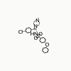 CN1CCN([C@H](CNS(=O)(=O)c2ccc(Oc3ccccc3)cc2)c2ccc(Cl)cc2)CC1